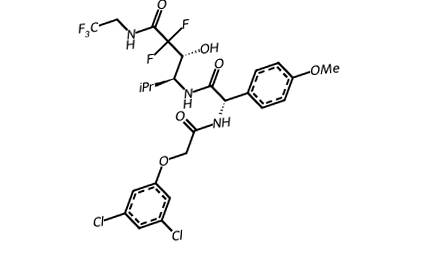 COc1ccc([C@H](NC(=O)COc2cc(Cl)cc(Cl)c2)C(=O)N[C@@H](C(C)C)[C@@H](O)C(F)(F)C(=O)NCC(F)(F)F)cc1